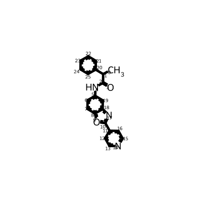 CC(C(=O)Nc1ccc2oc(-c3ccncc3)nc2c1)c1ccccc1